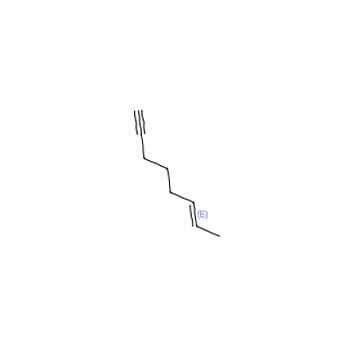 C#CCCC/C=C/C